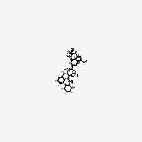 CCc1cn2c3c(cc(C(=O)N[C@@H](Cc4ccccc4)[C@H](O)CNC4CCCCC4)cc13)N(C)S(=O)(=O)C2